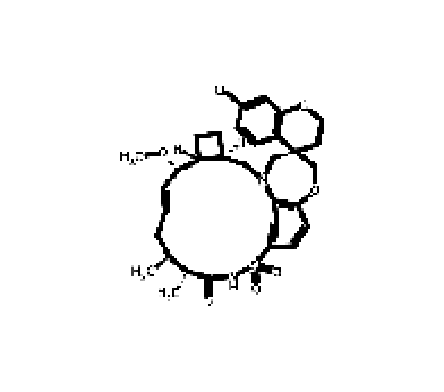 CO[C@H]1/C=C/C[C@H](C)[C@@H](C)C(=O)NS(=O)(=O)c2ccc3c(c2)N(C[C@@H]2CC[C@H]21)C[C@@]1(CCOc2cc(Cl)ccc21)CO3